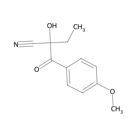 CCC(O)(C#N)C(=O)c1ccc(OC)cc1